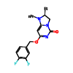 CCCN1c2cc(OCc3ccc(F)c(F)c3)nc(=O)n2CC1CC